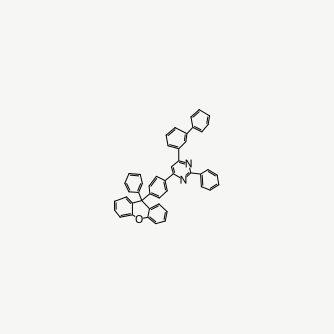 c1ccc(-c2cccc(-c3cc(-c4ccc(C5(c6ccccc6)c6ccccc6Oc6ccccc65)cc4)nc(-c4ccccc4)n3)c2)cc1